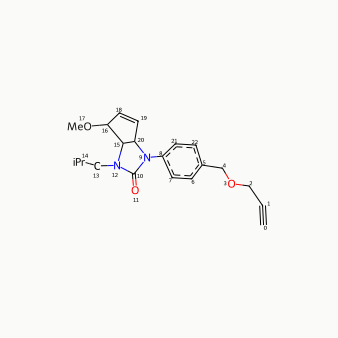 C#CCOCc1ccc(N2C(=O)N(CC(C)C)C3C(OC)C=CC32)cc1